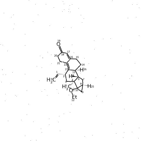 C=C[C@H]1C[C@@]2(C)[C@@H](C[C@H]3CC32OCC)[C@@H]2CCC3=CC(=O)CCC3=C21